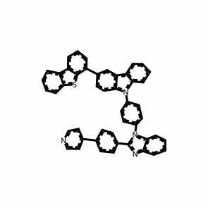 c1ccc2c(c1)nc(-c1ccc(-c3ccncc3)cc1)n2-c1ccc(-n2c3ccccc3c3cc(-c4cccc5c4sc4ccccc45)ccc32)cc1